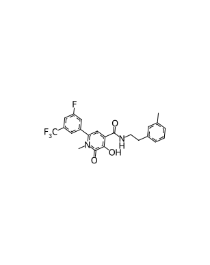 Cc1cccc(CCNC(=O)c2cc(-c3cc(F)cc(C(F)(F)F)c3)n(C)c(=O)c2O)c1